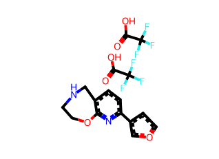 O=C(O)C(F)(F)F.O=C(O)C(F)(F)F.c1cc(-c2ccc3c(n2)OCCNC3)co1